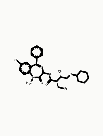 CC(C)C[C@@H](C(=O)NC1N=C(c2ccccc2)c2cc(Cl)ccc2N(C)C1=O)[C@H](O)COC1CCCCC1